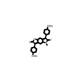 COc1ccc(C2=c3cc4c(cc3OC2=O)=C(c2ccc(OC)cc2)C(=O)N4C)cc1